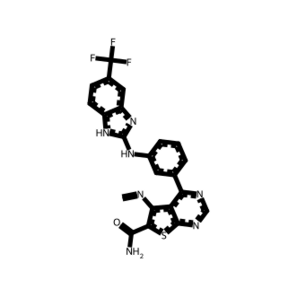 C=Nc1c(C(N)=O)sc2ncnc(-c3cccc(Nc4nc5cc(C(F)(F)F)ccc5[nH]4)c3)c12